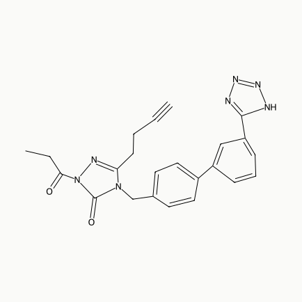 C#CCCc1nn(C(=O)CC)c(=O)n1Cc1ccc(-c2cccc(-c3nnn[nH]3)c2)cc1